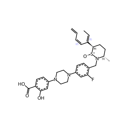 C=C/C=C\C(=C/C)[C@H]1CC[C@H](C)N(Cc2ccc(N3CCN(c4ccc(C(=O)O)c(O)c4)CC3)cc2F)[S+]1[O-]